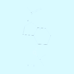 C=C(C)[C@H]1CCC2[C@@H](O[Si](C)(C)C(C)(C)C)CCC[C@@]21C